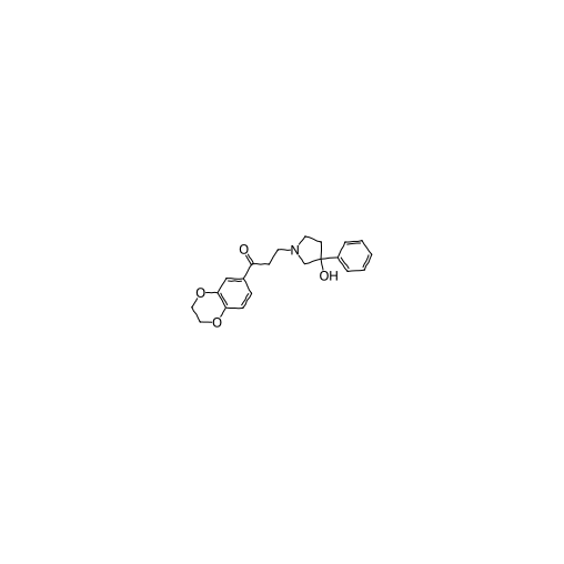 O=C(CCN1CCC(O)(c2ccccc2)C1)c1ccc2c(c1)OCCO2